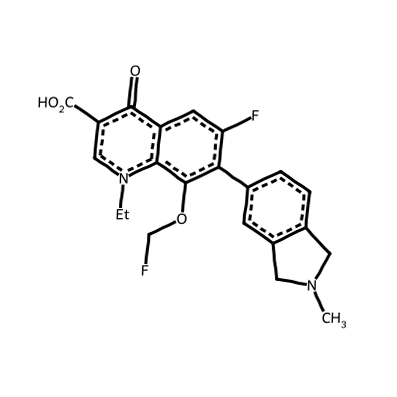 CCn1cc(C(=O)O)c(=O)c2cc(F)c(-c3ccc4c(c3)CN(C)C4)c(OCF)c21